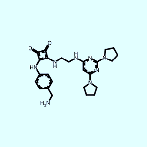 NCc1ccc(Nc2c(NCCNc3cc(N4CCCC4)nc(N4CCCC4)n3)c(=O)c2=O)cc1